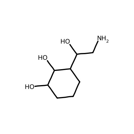 NCC(O)C1CCCC(O)C1O